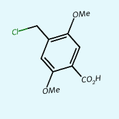 COc1cc(C(=O)O)c(OC)cc1CCl